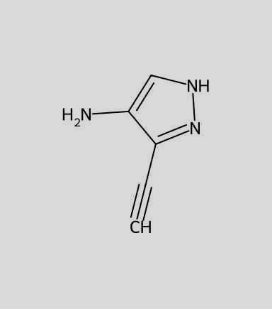 C#Cc1n[nH]cc1N